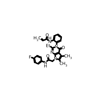 C=CC(=O)Nc1ccccc1-n1c(CC)nc2c(c(C)c(C)n2CC(=O)Nc2ccc(F)cc2)c1=O